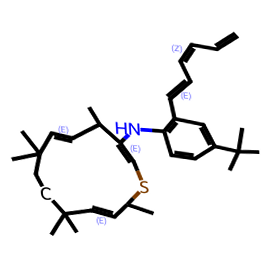 C=C/C=C\C=C\c1cc(C(C)(C)C)ccc1N/C1=C/SC(C)/C=C/C(C)(C)CCC(C)(C)/C=C/C1C